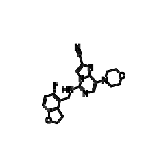 N#Cc1cn2c(NCc3c(F)ccc4c3CCO4)ncc(N3CCOCC3)c2n1